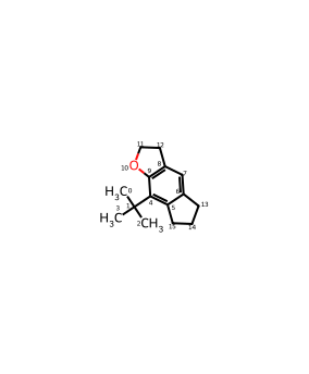 CC(C)(C)c1c2c(cc3c1OCC3)CCC2